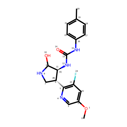 COc1cnc([C@@H]2CNC(O)[C@H]2NC(=O)Nc2ccc(C)cc2)c(F)c1